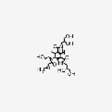 COCC(=O)N(CCO)c1c(I)c(C(=O)NCC(O)CO)c(I)c(C(=O)NCC(O)CO)c1I